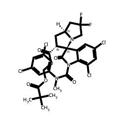 CN(C(=O)N1C(=O)[C@@]2(c3cc(Cl)cc(Cl)c31)[C@H](C(=O)OCOC(=O)C(C)(C)C)C[C@H]1CC(F)(F)CN12)c1cc(Cl)cc(Cl)c1